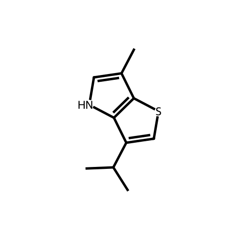 Cc1c[nH]c2c(C(C)C)csc12